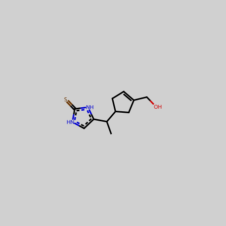 CC(c1c[nH]c(=S)[nH]1)C1CC=C(CO)C1